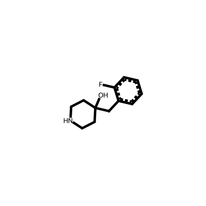 OC1([CH]c2ccccc2F)CCNCC1